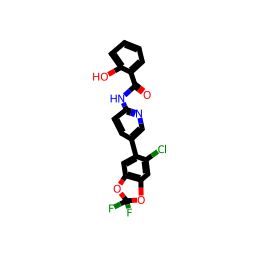 O=C(Nc1ccc(-c2cc3c(cc2Cl)OC(F)(F)O3)cn1)c1ccccc1O